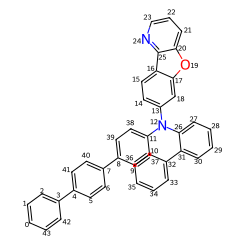 c1ccc(-c2ccc(-c3ccc(N(c4ccc5c(c4)oc4cccnc45)c4ccccc4-c4ccccc4)cc3)cc2)cc1